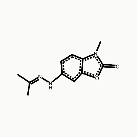 CC(C)=NNc1ccc2c(c1)oc(=O)n2C